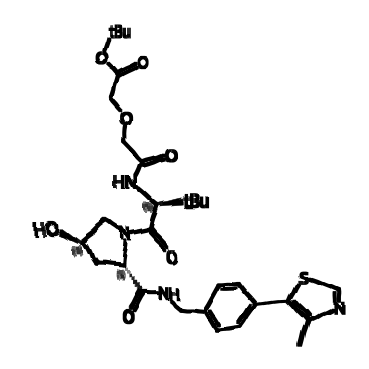 Cc1ncsc1-c1ccc(CNC(=O)[C@@H]2C[C@@H](O)CN2C(=O)[C@@H](NC(=O)COCC(=O)OC(C)(C)C)C(C)(C)C)cc1